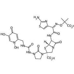 CC(C)(O/N=C(\C(=O)NC1C(=O)N2C[C@@](C(=O)O)(N3CCN(NC(=O)NCc4cc(=O)c(O)cn4O)C3=O)S[C@H]12)c1csc(N)n1)C(=O)O